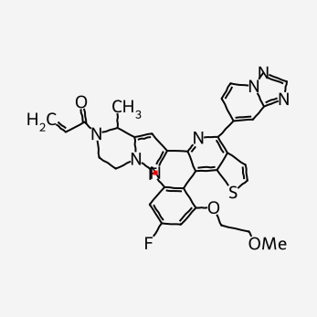 C=CC(=O)N1CCn2nc(-c3nc(-c4ccn5ncnc5c4)c4ccsc4c3-c3c(F)cc(F)cc3OCCOC)cc2C1C